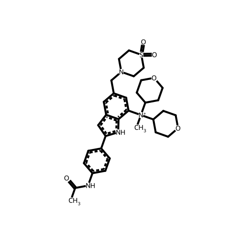 CC(=O)Nc1ccc(-c2cc3cc(CN4CCS(=O)(=O)CC4)cc([N+](C)(C4CCOCC4)C4CCOCC4)c3[nH]2)cc1